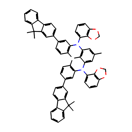 Cc1cc2c3c(c1)N(c1cccc4c1OCO4)c1cc(-c4ccc5c(c4)C(C)(C)c4ccccc4-5)ccc1B3c1ccc(-c3ccc4c(c3)C(C)(C)c3ccccc3-4)cc1N2c1cccc2c1OCO2